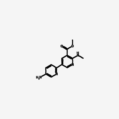 CNc1ncc(-c2ccc(N)cn2)cc1C(=O)OC